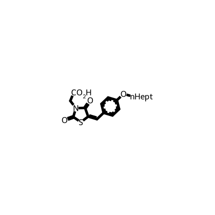 CCCCCCCOc1ccc(/C=C2/SC(=O)N(CC(=O)O)C2=O)cc1